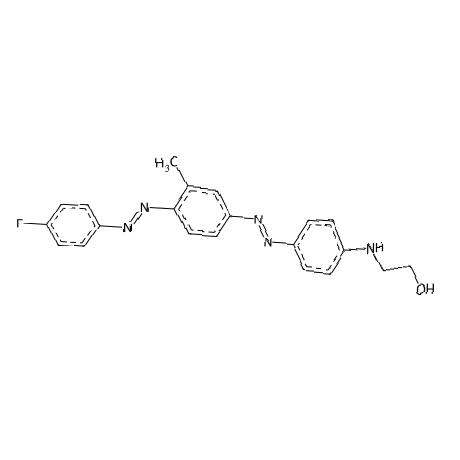 Cc1cc(/N=N/c2ccc(NCCO)cc2)ccc1/N=N/c1ccc(F)cc1